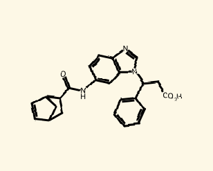 O=C(O)CC(c1ccccc1)n1cnc2ccc(NC(=O)C3CC4C=CC3C4)cc21